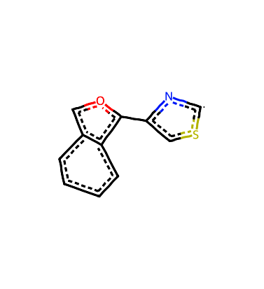 [c]1nc(-c2occ3ccccc23)cs1